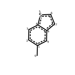 Cc1ccc2sc[c]c2c1